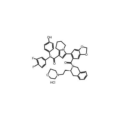 Cl.O=C(c1cc(-c2cc3c(cc2C(=O)N2Cc4ccccc4C[C@H]2CCN2CCOCC2)OCO3)n2c1CCCC2)N(c1ccc(O)cc1)c1ccc(F)c(F)c1